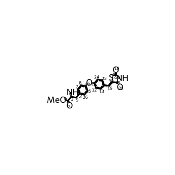 COC(=O)C(N)Cc1ccc(Oc2ccc(/C=C3\SC(=O)NC3=O)cc2)cc1